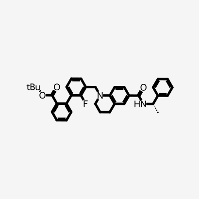 C[C@H](NC(=O)c1ccc2c(c1)CCCN2Cc1cccc(-c2ccccc2C(=O)OC(C)(C)C)c1F)c1ccccc1